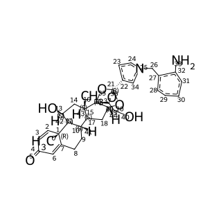 C[C@]12C=CC(=O)C=C1CC[C@@H]1[C@@H]2[C@@H](O)C[C@@]2(C)[C@H]1C[C@H]1O[C@@H](c3ccn(Cc4ccccc4N)c3)O[C@]12C(=O)CO